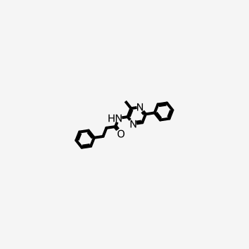 Cc1nc(-c2ccccc2)cnc1NC(=O)CCc1ccccc1